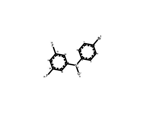 [O-][S+](c1ccc(Br)cc1)c1cc(F)cc(F)c1